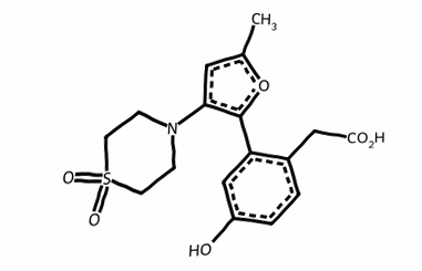 Cc1cc(N2CCS(=O)(=O)CC2)c(-c2cc(O)ccc2CC(=O)O)o1